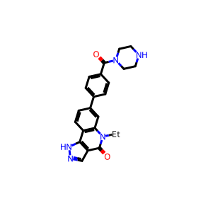 CCn1c(=O)c2cn[nH]c2c2ccc(-c3ccc(C(=O)N4CCNCC4)cc3)cc21